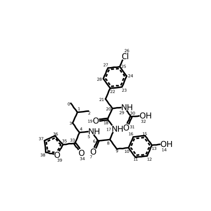 CC(C)CC(NC(=O)C(Cc1ccc(O)cc1)NC(=O)C(Cc1ccc(Cl)cc1)NC(=O)O)C(=O)c1ccco1